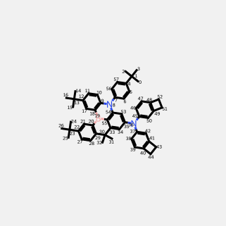 CC(C)(C)c1ccc(N2c3ccc(C(C)(C)C)cc3B3c4cc(C(C)(C)C)ccc4C(C)(C)c4cc(N(c5ccc6c(c5)CC6)c5ccc6c(c5)CC6)cc2c43)cc1